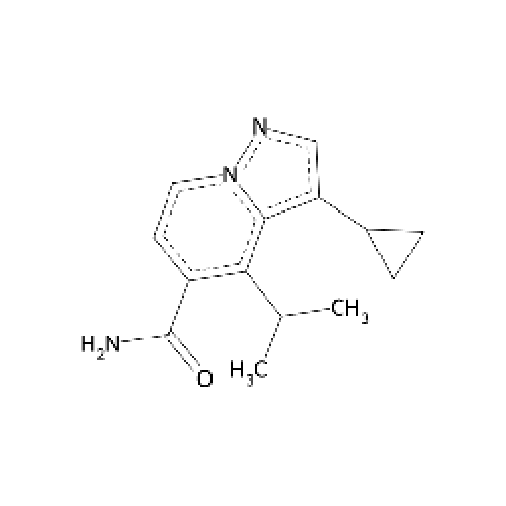 CC(C)c1c(C(N)=O)ccn2ncc(C3CC3)c12